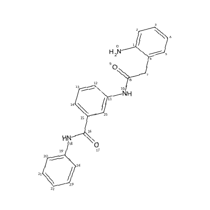 Nc1ccccc1CC(=O)Nc1cccc(C(=O)Nc2ccccc2)c1